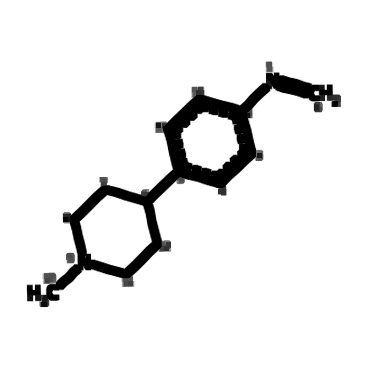 C=Nc1ccc(C2CCN(C)CC2)cc1